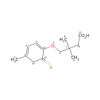 CC1=CC=C(OCC(C)(C)CC(=O)O)C(=S)C1